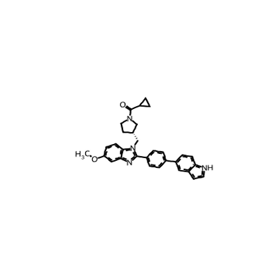 COc1ccc2c(c1)nc(-c1ccc(-c3ccc4[nH]ccc4c3)cc1)n2C[C@@H]1CCN(C(=O)C2CC2)C1